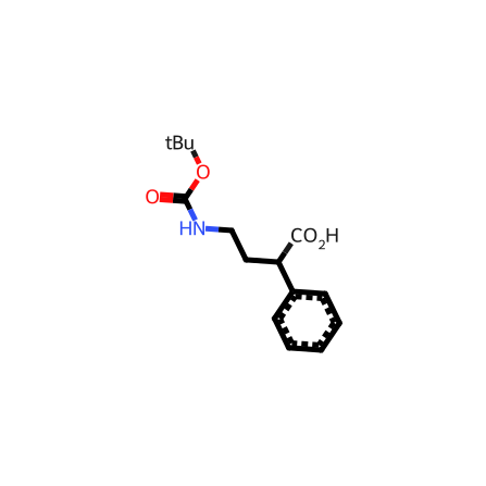 CC(C)(C)OC(=O)NCCC(C(=O)O)c1ccccc1